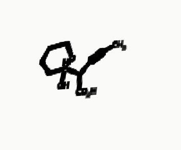 CC#CC(C(=O)O)[PH]1(O)CCCCO1